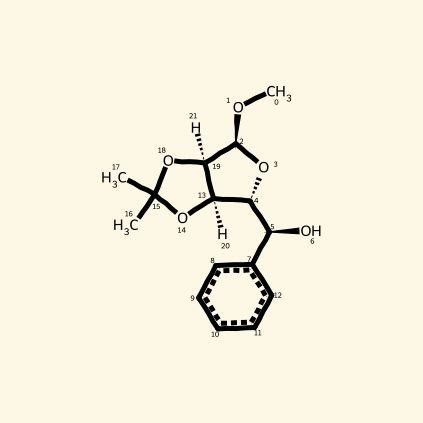 CO[C@H]1O[C@H]([C@@H](O)c2ccccc2)[C@H]2OC(C)(C)O[C@@H]12